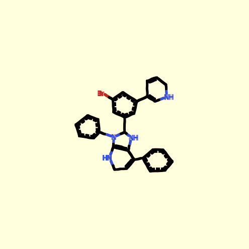 Brc1cc(C2=CNCC=C2)cc(C2NC3=C(NCC=C3c3ccccc3)N2c2ccccc2)c1